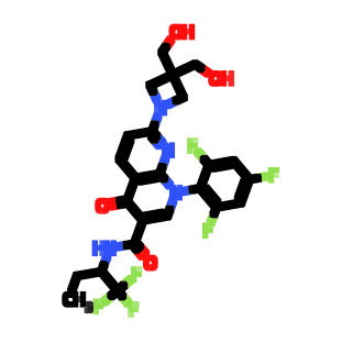 CCC(NC(=O)c1cn(-c2c(F)cc(F)cc2F)c2nc(N3CC(CO)(CO)C3)ccc2c1=O)C(F)(F)F